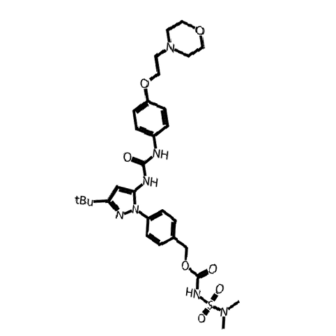 CN(C)S(=O)(=O)NC(=O)OCc1ccc(-n2nc(C(C)(C)C)cc2NC(=O)Nc2ccc(OCCN3CCOCC3)cc2)cc1